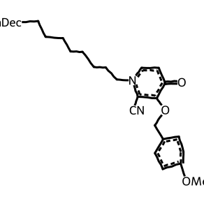 CCCCCCCCCCCCCCCCCCn1ccc(=O)c(OCc2ccc(OC)cc2)c1C#N